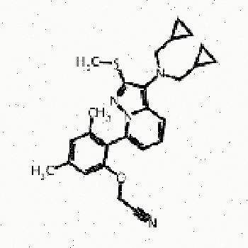 CSc1nn2c(-c3c(C)cc(C)cc3OCC#N)cccc2c1N(CC1CC1)CC1CC1